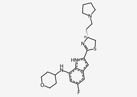 Fc1cc(NC2CCOCC2)c2[nH]c(C3=N[C@H](CCN4CCCC4)CS3)cc2c1